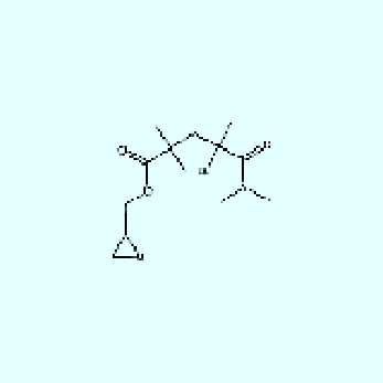 CCC(C)(CC(C)(C)C(=O)OCC1CO1)C(=O)N(C)C